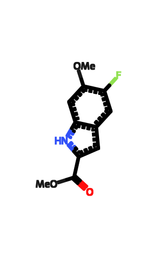 COC(=O)c1cc2cc(F)c(OC)cc2[nH]1